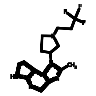 Cc1nc2cnc3[nH]ccc3c2n1C1CCN(CCC(F)(F)F)C1